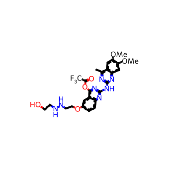 COc1cc2nc(Nc3nc(OC(=O)C(F)(F)F)c4cc(OCCNNCCO)ccc4n3)nc(C)c2cc1OC